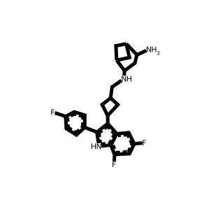 NC1CC(NCC2CC(c3c(-c4ccc(F)cc4)[nH]c4c(F)cc(F)cc34)C2)C2CC1C2